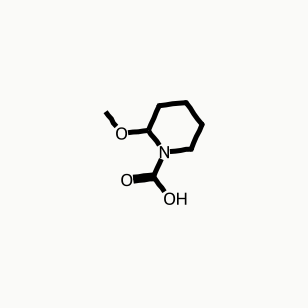 COC1CCCCN1C(=O)O